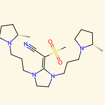 C[C@H]1CCCN1CCCN1CCN(CCCN2CCC[C@@H]2C)C1=C(C#N)S(C)(=O)=O